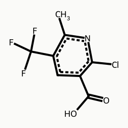 Cc1nc(Cl)c(C(=O)O)cc1C(F)(F)F